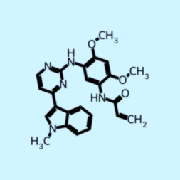 C=CC(=O)Nc1cc(Nc2nccc(-c3cn(C)c4ccccc34)n2)c(OC)cc1OC